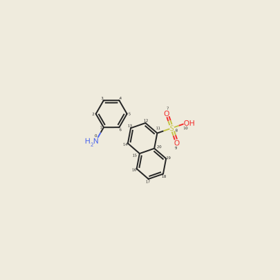 Nc1ccccc1.O=S(=O)(O)c1cccc2ccccc12